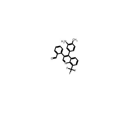 Cc1ccc(-c2c(-c3ccccc3C=O)cnc3c(C(F)(F)F)cccc23)cc1N